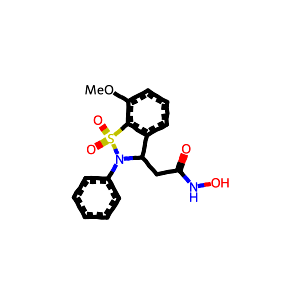 COc1cccc2c1S(=O)(=O)N(c1ccccc1)C2CC(=O)NO